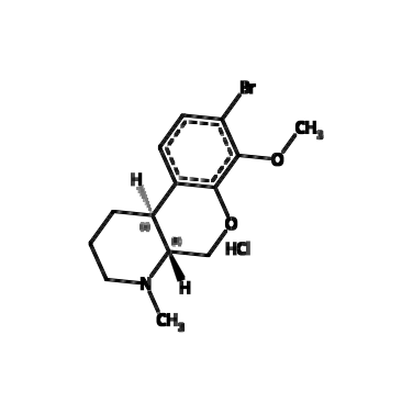 COc1c(Br)ccc2c1OC[C@H]1[C@H]2CCCN1C.Cl